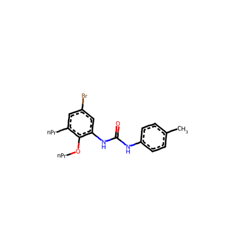 CCCOc1c(CCC)cc(Br)cc1NC(=O)Nc1ccc(C)cc1